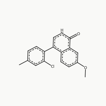 COc1ccc2c(-c3ccc(C)cc3Cl)c[nH]c(=O)c2c1